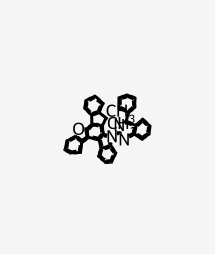 CC1(C)c2ccccc2-c2c1c1c(c3ccccc3n1-c1nc(-c3ccccc3)c3ccccc3n1)c1c2oc2ccccc21